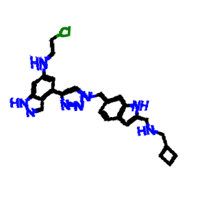 ClCCNc1cc(-c2cn(Cc3ccc4cc(CNCC5CCC5)[nH]c4c3)nn2)c2cn[nH]c2c1